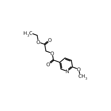 CCOC(=O)COC(=O)c1ccc(OC)nc1